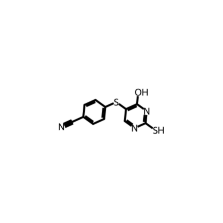 N#Cc1ccc(Sc2cnc(S)nc2O)cc1